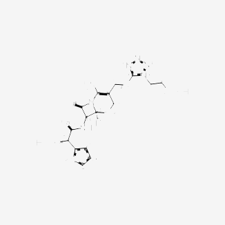 O=C(O)C1=C(CSc2nnnn2CCS(=O)(=O)O)CS[C@@H]2C(NC(=O)C(C(=O)O)c3cccs3)C(=O)N12